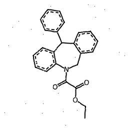 CCOC(=O)C(=O)N1Cc2ccccc2C(c2ccccc2)c2ccccc21